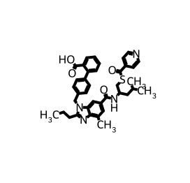 CCCc1nc2c(C)cc(C(=O)NC(CSC(=O)c3ccncc3)CC(C)C)cc2n1Cc1ccc(-c2ccccc2C(=O)O)cc1